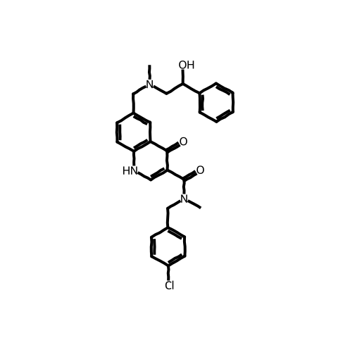 CN(Cc1ccc2[nH]cc(C(=O)N(C)Cc3ccc(Cl)cc3)c(=O)c2c1)CC(O)c1ccccc1